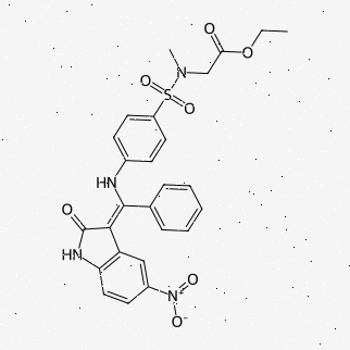 CCOC(=O)CN(C)S(=O)(=O)c1ccc(N/C(=C2\C(=O)Nc3ccc([N+](=O)[O-])cc32)c2ccccc2)cc1